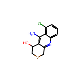 Nc1c2c(nc3cccc(Cl)c13)CSCC2O